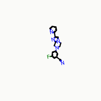 N#Cc1cc(F)cc(N2CCn3cc(-c4ccccn4)nc3C2)c1